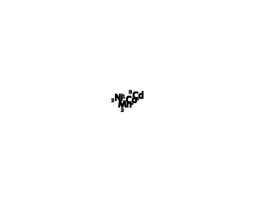 [Cd].[Co].[Mn].[Ni]